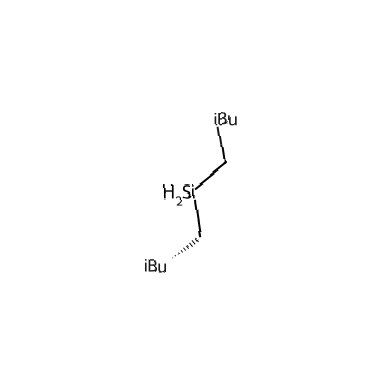 CCC(C)C[SiH2]C[C@@H](C)CC